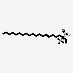 CCCCCCCCCCCCCC=CCCCC(CC)(P(=O)=O)[N+](C)(C)C